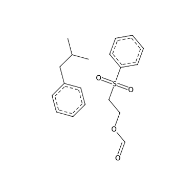 CC(C)Cc1ccccc1.O=COCCS(=O)(=O)c1ccccc1